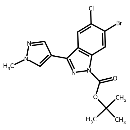 Cn1cc(-c2nn(C(=O)OC(C)(C)C)c3cc(Br)c(Cl)cc23)cn1